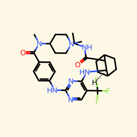 CCNC(=O)C1C2CCC(CC2)[C@H]1Nc1nc(Nc2ccc(C(=O)N(C)C3CCN(C)CC3)cc2)ncc1C(F)(F)F